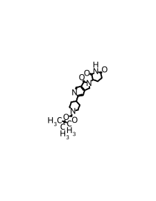 CC(C)(C)OC(=O)N1CCC(c2cc3c(cn2)C(=O)N(C2CCC(=O)NC2=O)C3)CC1